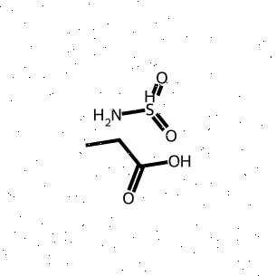 CCC(=O)O.N[SH](=O)=O